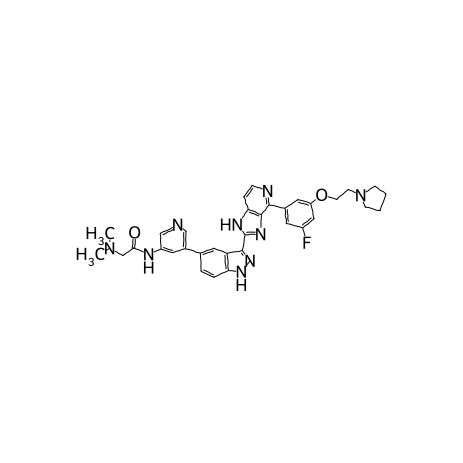 CN(C)CC(=O)Nc1cncc(-c2ccc3[nH]nc(-c4nc5c(-c6cc(F)cc(OCCN7CCCC7)c6)nccc5[nH]4)c3c2)c1